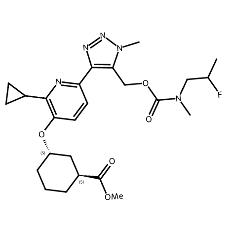 COC(=O)[C@H]1CCC[C@H](Oc2ccc(-c3nnn(C)c3COC(=O)N(C)CC(C)F)nc2C2CC2)C1